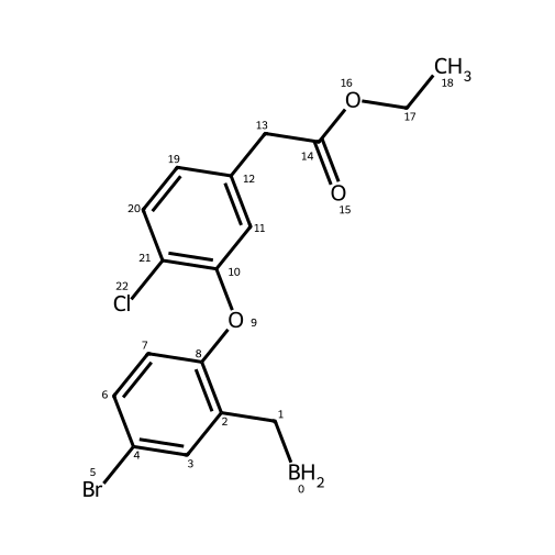 BCc1cc(Br)ccc1Oc1cc(CC(=O)OCC)ccc1Cl